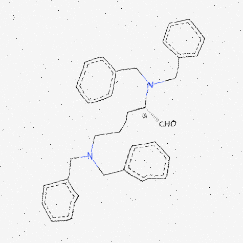 O=C[C@H](CCCN(Cc1ccccc1)Cc1ccccc1)N(Cc1ccccc1)Cc1ccccc1